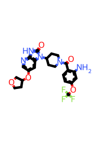 Nc1cc(OC(F)(F)F)ccc1C(=O)N1CCC(n2c(=O)[nH]c3ncc(OC4CCOC4)cc32)CC1